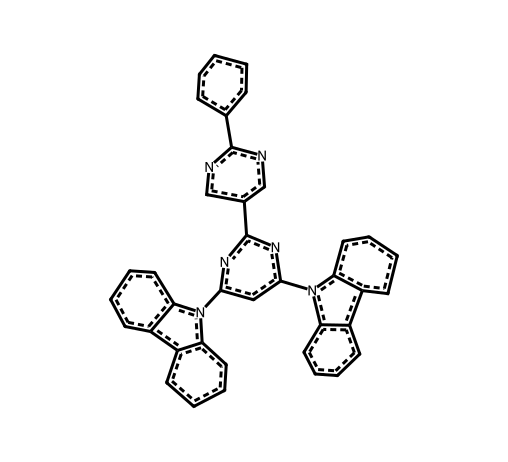 c1ccc(-c2ncc(-c3nc(-n4c5ccccc5c5ccccc54)cc(-n4c5ccccc5c5ccccc54)n3)cn2)cc1